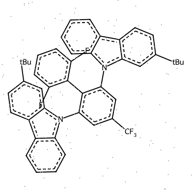 CC(C)(C)c1ccc2c3ccccc3n(-c3cc(C(F)(F)F)cc(-n4c5ccccc5c5ccc(C(C)(C)C)cc54)c3-c3c(F)cccc3F)c2c1